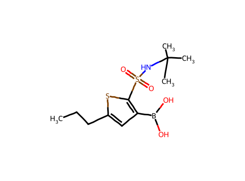 CCCc1cc(B(O)O)c(S(=O)(=O)NC(C)(C)C)s1